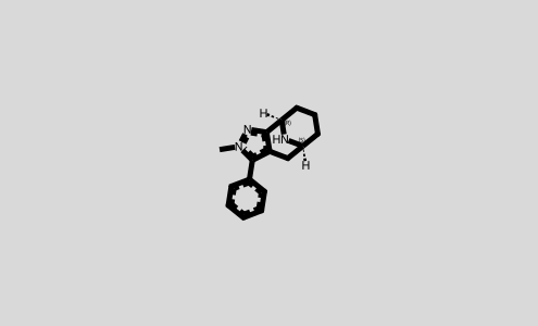 Cn1nc2c(c1-c1ccccc1)C[C@@H]1CCC[C@H]2N1